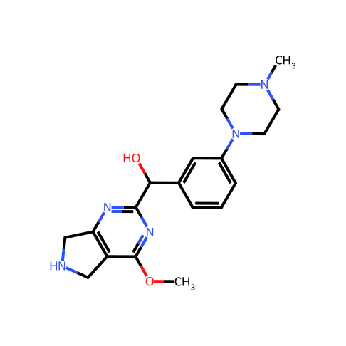 COc1nc(C(O)c2cccc(N3CCN(C)CC3)c2)nc2c1CNC2